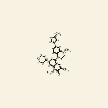 Cc1cc2c(N3CCN(C)c4cc(-c5cnn(C)c5)ncc43)cc(C3CCOCC3)cc2n(C)c1=O